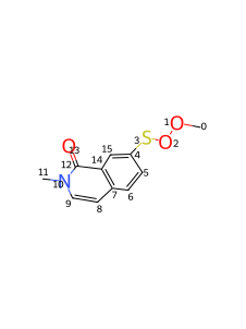 COOSc1ccc2ccn(C)c(=O)c2c1